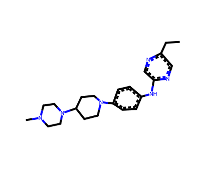 CCc1cnc(Nc2ccc(N3CCC(N4CCN(C)CC4)CC3)cc2)cn1